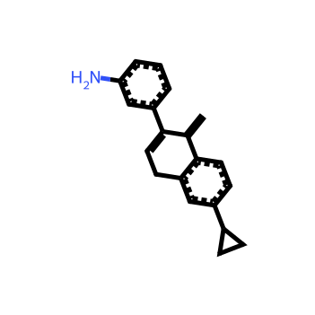 C=C1C(c2cccc(N)c2)=CCc2cc(C3CC3)ccc21